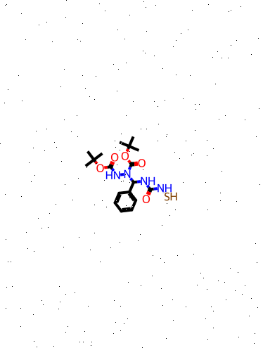 CC(C)(C)OC(=O)NN(C(=O)OC(C)(C)C)C(NC(=O)NS)c1ccccc1